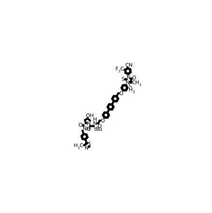 Cc1ncsc1-c1ccc(CNC(=O)[C@@H]2C[C@@H](O)CN2C(=O)C(NC(=O)COc2ccc(-c3ccc(-c4ccc(COc5ccc(N6C(=S)N(c7ccc(C#N)c(C(F)(F)F)c7)C(=O)C6(C)C)cc5)cc4)cc3)cc2)C(C)(C)C)cc1